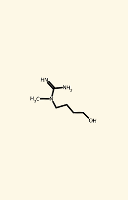 CN(CCCCO)C(=N)N